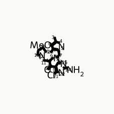 COc1c(C)cnc(CN2CC(CN3CCCC3)C(=O)c3c(Cl)nc(N)nc32)c1C